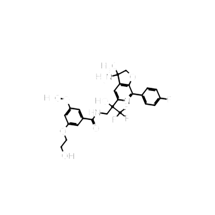 COc1cc(OCCO)cc(C(=O)NCC(O)(c2cc3c(c(-c4ccc(F)cc4)n2)OCC3(C)N)C(F)(F)F)c1